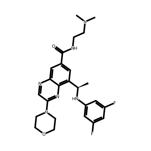 C[C@@H](Nc1cc(F)cc(F)c1)c1cc(C(=O)NCCN(C)C)cc2ncc(N3CCOCC3)nc12